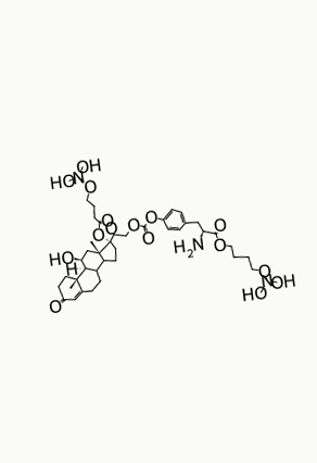 C[C@]12CCC(=O)C=C1CCC1C3CC[C@](OC(=O)CCCON(O)O)(C(=O)COC(=O)Oc4ccc(C[C@H](N)C(=O)OCCCCON(O)O)cc4)[C@@]3(C)C[C@H](O)[C@@H]12